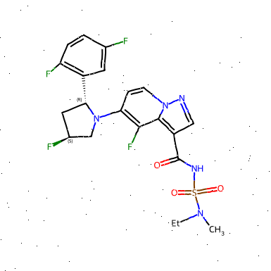 CCN(C)S(=O)(=O)NC(=O)c1cnn2ccc(N3C[C@@H](F)C[C@@H]3c3cc(F)ccc3F)c(F)c12